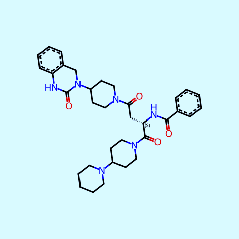 O=C(N[C@@H](CC(=O)N1CCC(N2Cc3ccccc3NC2=O)CC1)C(=O)N1CCC(N2CCCCC2)CC1)c1ccccc1